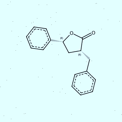 O=C1O[C@@H](c2ccccc2)C[C@H]1Cc1ccccc1